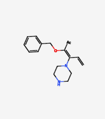 C=C/C(=C(/OCc1ccccc1)C(C)=O)N1CCNCC1